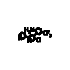 Nc1ccc(C(F)(F)F)cc1-c1cc(-c2cccnc2)ncc1Cl